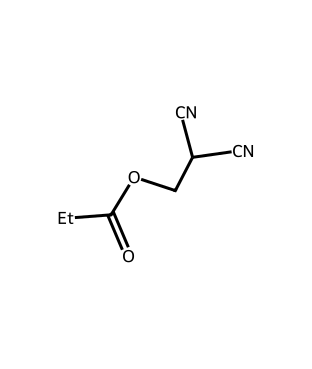 CCC(=O)OCC(C#N)C#N